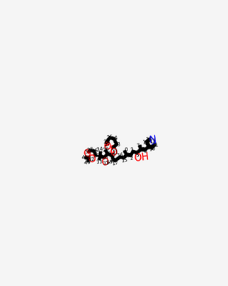 C/C(=C\C[C@H](O)/C(C)=C/c1ccncc1)CCC[C@H](C)[C@H](OC1CCCCO1)C(C)C(=O)C(C)(C)[C@@H]1CCOC(C)(C)O1